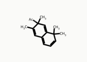 CC(=O)C1(C)C=C2C(=CC=CC2(C)C)C=C1C